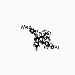 CCC(=O)C(C(=O)c1nc2cc(C)sc2nc1NCc1ccc(OC)cc1)N1CCN(C(=O)OC(C)(C)C)CC1